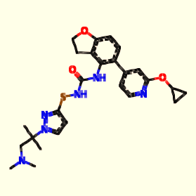 CN(C)CC(C)(C)n1ccc(SNC(=O)Nc2c(-c3ccnc(OC4CC4)c3)ccc3c2CCO3)n1